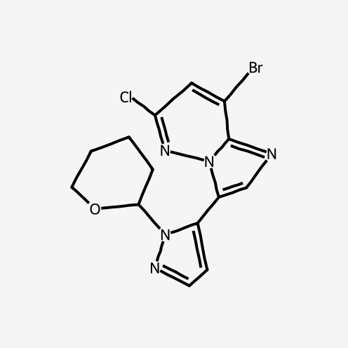 Clc1cc(Br)c2ncc(-c3ccnn3C3CCCCO3)n2n1